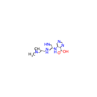 CN(C)CCCN/C=C(\C=N)Nc1cncnc1C(=O)O